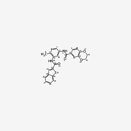 Cc1ccc(NC(=O)c2ccc3c(c2)OCCO3)cc1NC(=O)c1cc2ccccc2s1